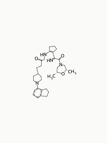 C[C@@H]1CN(C(=O)C(=N)C2=C(NCC(=O)CCC3CCN(c4cccc5c4CCC5)CC3)CCC2)C[C@H](C)O1